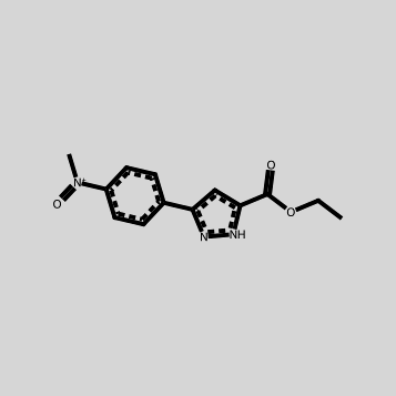 CCOC(=O)c1cc(-c2ccc([N+](C)=O)cc2)n[nH]1